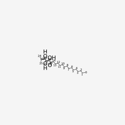 CCCCCCCCCCCCCCCC(=O)C(O)C(O)C(O)=C(C)C